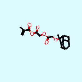 C=C(C)C(=O)OC(=O)COC(=O)COC1(C)C2CC3CC(C2)CC1C3